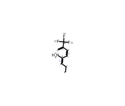 C=C(/C=C\C(N)=C/CC)C(F)(F)F